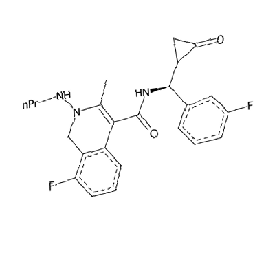 CCCNN1Cc2c(F)cccc2C(C(=O)N[C@H](c2cccc(F)c2)C2CC2=O)=C1C